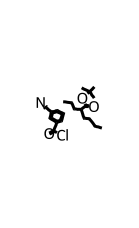 CCCCC(CCC)C(=O)OC(C)(C)C.N#Cc1cccc(C(=O)Cl)c1